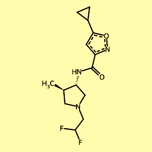 C[C@@H]1CN(CC(F)F)C[C@H]1NC(=O)c1cc(C2CC2)on1